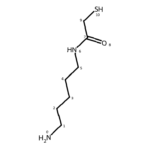 NCCCCCNC(=O)CS